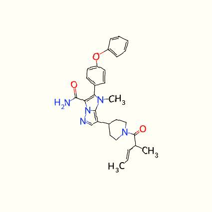 C/C=C/C(C)C(=O)N1CCC(c2cnn3c(C(N)=O)c(-c4ccc(Oc5ccccc5)cc4)n(C)c23)CC1